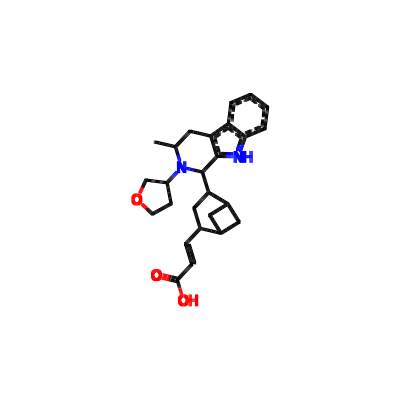 CC1Cc2c([nH]c3ccccc23)C(C2CC(/C=C/C(=O)O)C3CC2C3)N1C1CCOC1